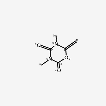 C=C1OC(=O)N(C)C(=O)N1C